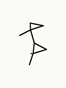 C[C]1CC1C1(C)CC1